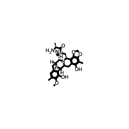 COc1c(C)cc2c(c1O)[C@H]1C3Cc4c(O)c(C)c5c(c4[C@H](CNC(=O)[C@H](C)N)N3[C@@H](C#N)[C@@H](C2)N1C)OCO5